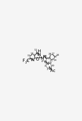 CC(=O)N1CCN([C@H]2CN(C(=O)N[C@H](C)c3ccc(C(F)(F)F)nc3)N=C2c2ccc(C)cc2)CC1